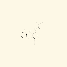 C[C@H](N)C(=O)Nc1cnc(C(F)(F)F)c(Cl)c1C(=O)c1c(F)cccc1Cl